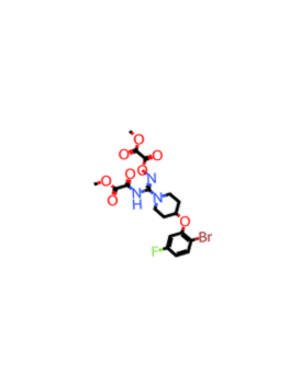 COC(=O)C(=O)N/C(=N\OC(=O)C(=O)OC)N1CCC(Oc2cc(F)ccc2Br)CC1